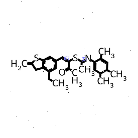 C=C1Cc2c(CC)cc(/C=C(/S/C(C)=N/C3=CC(C)C(C)C=C3C)C(C)=O)cc2S1